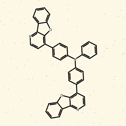 c1ccc(N(c2ccc(-c3ccnc4c3oc3ccccc34)cc2)c2ccc(-c3ccnc4c3oc3ccccc34)cc2)cc1